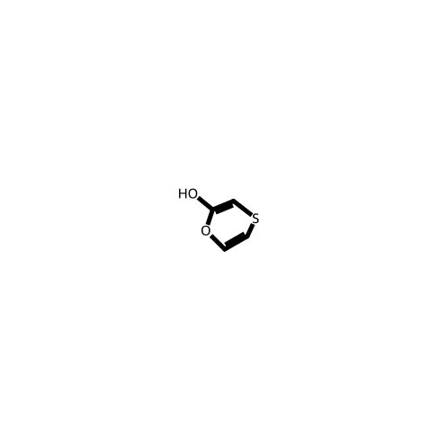 OC1=CSC=CO1